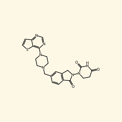 O=C1CCN(N2Cc3cc(CN4CCN(c5ncnc6ccsc56)CC4)ccc3C2=O)C(=O)N1